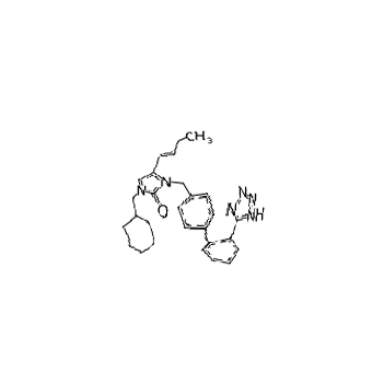 CCC=Cc1cn(CC2CCCCC2)c(=O)n1Cc1ccc(-c2ccccc2-c2nnn[nH]2)cc1